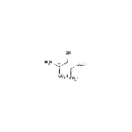 N[C@@H](CS)C(=O)O.O=C(O)CC(=O)O